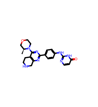 C[C@H]1COCCN1c1nc(-c2ccc(Nc3nccc(=O)[nH]3)cc2)nc2c1CCNC2